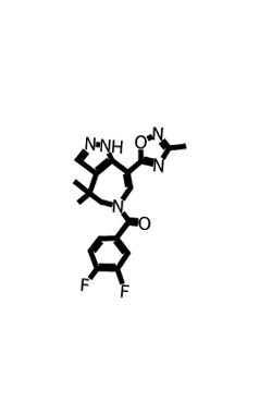 Cc1noc(C2=CN(C(=O)c3ccc(F)c(F)c3)CC(C)(C)c3cn[nH]c32)n1